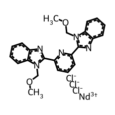 COCn1c(-c2cccc(-c3nc4ccccc4n3COC)n2)nc2ccccc21.[Cl-].[Cl-].[Cl-].[Nd+3]